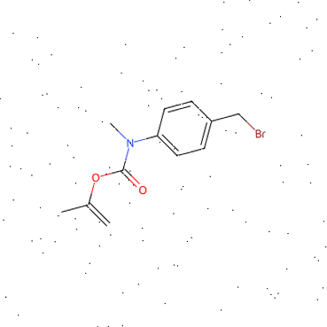 C=C(C)OC(=O)N(C)c1ccc(CBr)cc1